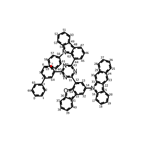 c1ccc(-c2cccc(-c3nc(-c4cc(-n5c6ccccc6c6cc7ccccc7cc65)cc5c4oc4ccccc45)nc(-c4cccc5c6ccccc6n(-c6ccccc6)c45)n3)c2)cc1